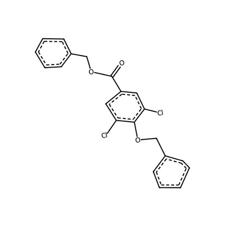 O=C(OCc1ccccc1)c1cc(Cl)c(OCc2ccccc2)c(Cl)c1